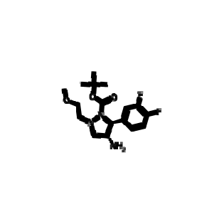 COCCN1C[C@@H](N)[C@H](c2ccc(F)c(F)c2)N1C(=O)OC(C)(C)C